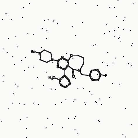 CC(=O)N1CCN(c2nc3c(c(-c4ccccc4C)n2)C(=O)N(Cc2ccc(F)cc2)CCCO3)CC1